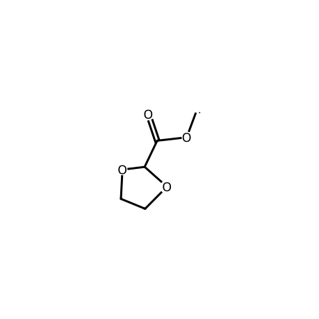 [CH2]OC(=O)C1OCCO1